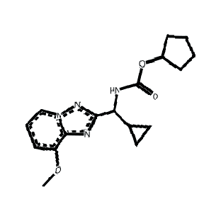 COc1cccn2nc(C(NC(=O)OC3CCCC3)C3CC3)nc12